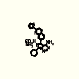 NC(=O)O.Nc1ncnn2c(C3CCCCC3)nc(-c3ccc4ccc(-c5cccs5)nc4c3)c12